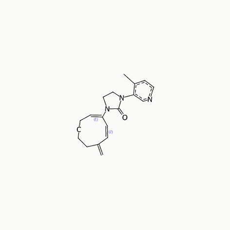 C=C1/C=C\C(N2CCN(c3cnccc3C)C2=O)=C/CCCC1